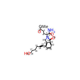 COC(=O)CCC(C(N)=O)N1Cc2c(C#CCCCCO)cccc2C1=O